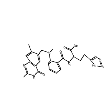 Cc1nc2cc(C)c(CN(C)c3ccccc3C(=O)NC(CCc3nnn[nH]3)C(=O)O)cc2c(=O)[nH]1